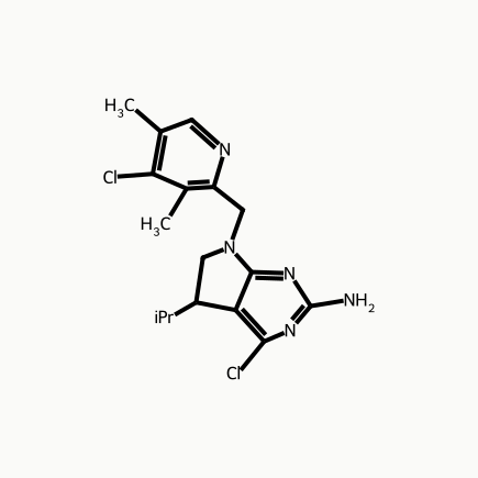 Cc1cnc(CN2CC(C(C)C)c3c(Cl)nc(N)nc32)c(C)c1Cl